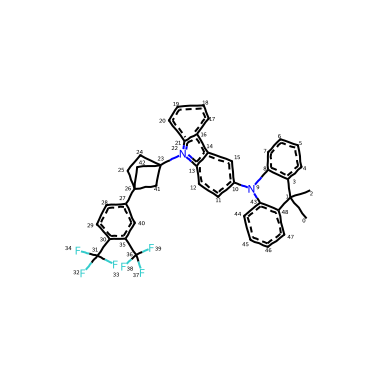 CC1(C)c2ccccc2N(c2ccc3c(c2)c2ccccc2n3C23CCC(c4ccc(C(F)(F)F)c(C(F)(F)F)c4)(C2)C3)c2ccccc21